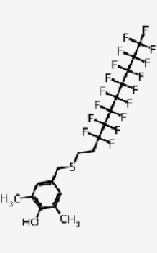 Cc1cc(CSCCC(F)(F)C(F)(F)C(F)(F)C(F)(F)C(F)(F)C(F)(F)C(F)(F)C(F)(F)F)cc(C)c1O